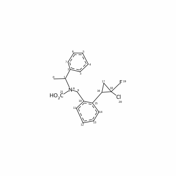 CC(c1ccccc1)N(Cc1ccccc1C1CC1(F)Cl)C(=O)O